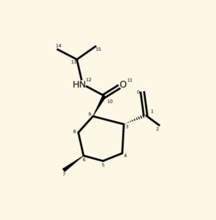 C=C(C)[C@@H]1CC[C@@H](C)C[C@H]1C(=O)NC(C)C